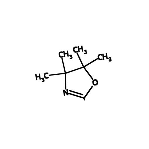 CC1(C)N=[C]OC1(C)C